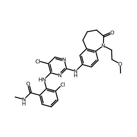 CNC(=O)c1cccc(Cl)c1Nc1nc(Nc2ccc3c(c2)CCCC(=O)N3CCOC)ncc1Cl